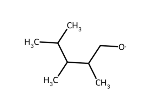 CC(C)C(C)C(C)C[O]